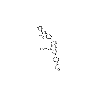 C[C@@H](Cn1cncn1)Oc1cc(-c2cnc(Nc3cn([C@H]4CC[C@H](N5CCOCC5)CC4)nc3OCCO)nc2)ccc1Cl